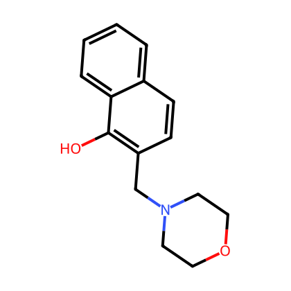 Oc1c(CN2CCOCC2)ccc2ccccc12